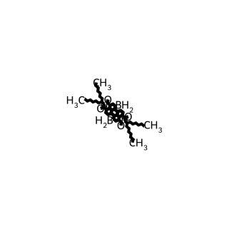 Bc1cc2c3c(ccc4c5c(B)cc6c7c(ccc(c1c34)c75)C(=O)N(C(CCCCCCC)CCCCCCC)C6=O)C(=O)N(C(CCCCCCC)CCCCCCC)C2=O